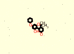 CC1(C)Oc2cc(OC3CCCCC3)cc(O)c2C2=CC(=O)CCC21